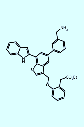 CCOC(=O)Cc1ccccc1OCc1coc2c(-c3cc4ccccc4[nH]3)cc(-c3cccc(CN)c3)cc12